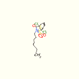 CCCCCCCCN1C(=O)C2(Cl)C3C=CC(S3)C2(Cl)S1(=O)=O